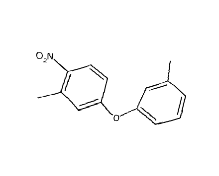 Cc1cccc(Oc2ccc([N+](=O)[O-])c(C)c2)c1